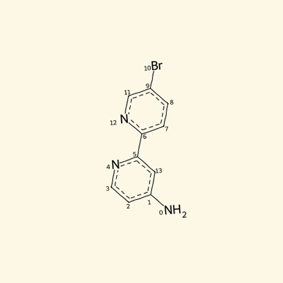 Nc1ccnc(-c2ccc(Br)cn2)c1